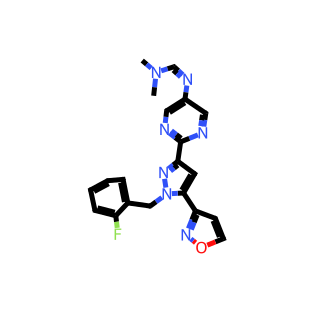 CN(C)/C=N\c1cnc(-c2cc(-c3ccon3)n(Cc3ccccc3F)n2)nc1